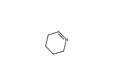 [C]1=NCCCC1